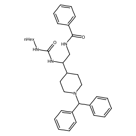 CCCCCCNC(=O)NC(CNC(=O)c1ccccc1)C1CCN(C(c2ccccc2)c2ccccc2)CC1